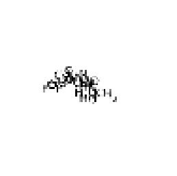 Cc1cc(OCc2ccc(F)cc2F)c(Cl)c(=O)n1Cc1cnc(C(=O)NCC(C)(C)CO)cn1